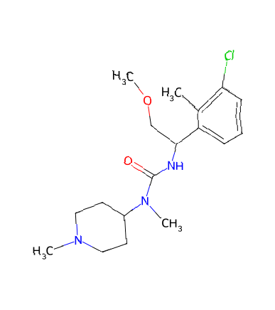 COCC(NC(=O)N(C)C1CCN(C)CC1)c1cccc(Cl)c1C